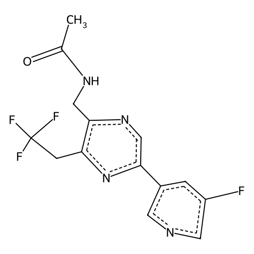 CC(=O)NCc1ncc(-c2cncc(F)c2)nc1CC(F)(F)F